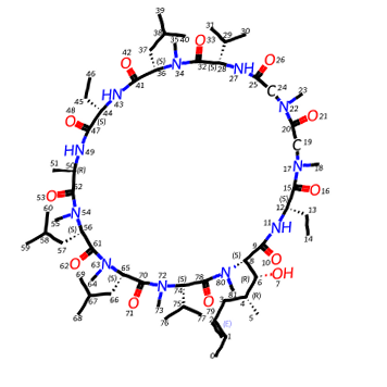 C/C=C/C[C@@H](C)[C@@H](O)[C@H]1C(=O)N[C@@H](CC)C(=O)N(C)CC(=O)N(C)CC(=O)N[C@@H](C(C)C)C(=O)N(C)[C@@H](CC(C)C)C(=O)N[C@@H](CC)C(=O)N[C@H](C)C(=O)N(C)[C@@H](CC(C)C)C(=O)N(C)[C@@H](CC(C)C)C(=O)N(C)[C@@H](C(C)C)C(=O)N1C